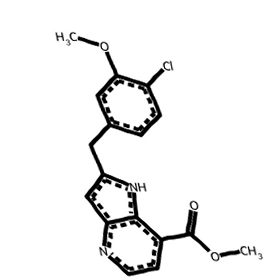 COC(=O)c1ccnc2cc(Cc3ccc(Cl)c(OC)c3)[nH]c12